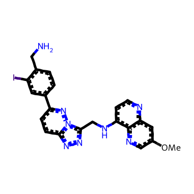 COc1cnc2c(NCc3nnc4ccc(-c5ccc(CN)c(I)c5)nn34)ccnc2c1